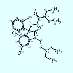 CCN(CC)CCN1C(=O)C(OCC(=O)N(CC)CC)(c2ccccc2F)c2c(Cl)cc(Cl)cc21